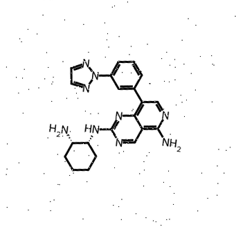 Nc1ncc(-c2cccc(-n3nccn3)c2)c2nc(N[C@@H]3CCCC[C@@H]3N)ncc12